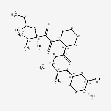 CCC(C)O[C@@](O)(C(=O)C(=O)N1CCCC[C@H]1C(=O)O[C@@H](C)[C@H](C)C[C@@H]1CC[C@@H](O)[C@H](O)C1)C(C)C